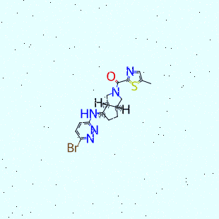 Cc1cnc(C(=O)N2C[C@@H]3CC[C@@H](Nc4ccc(Br)nn4)[C@@H]3C2)s1